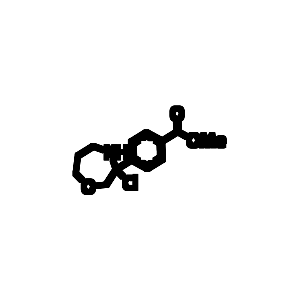 COC(=O)c1ccc(C2(Cl)COCCCN2)cc1